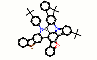 CC(C)(C)c1ccc(N2B3c4cc5c(cc4-n4c6ccc(C(C)(C)C)cc6c6c7oc8ccccc8c7c(c3c64)-c3cc4sc6ccccc6c4cc32)C(C)(C)c2ccccc2-5)cc1